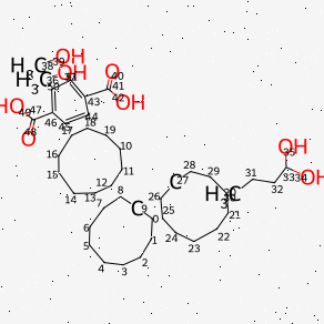 C1CCCCCCCCC1.C1CCCCCCCCC1.C1CCCCCCCCC1.CCCC(O)O.CO.CO.O=C(O)c1ccc(C(=O)O)cc1